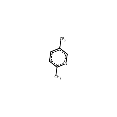 Cc1ccc(C(F)(F)F)cn1